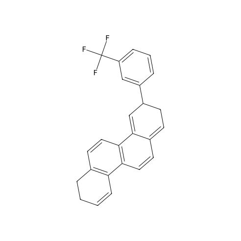 FC(F)(F)c1cccc(C2C=c3c(ccc4c5c(ccc34)CCC=C5)=CC2)c1